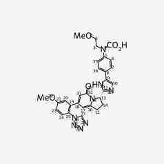 COCCN(C(=O)O)c1ccc(-c2cnc([C@@H]3CCc4cc(-c5cc(OC)ccc5-n5cnnn5)cc(=O)n43)[nH]2)cc1